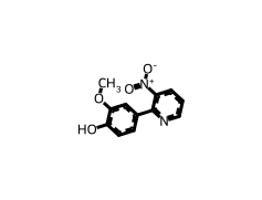 COc1cc(-c2ncccc2[N+](=O)[O-])ccc1O